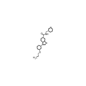 C=CCOc1cccc(-n2cnc3cc(C(=O)NCc4cccnc4)ccc32)c1